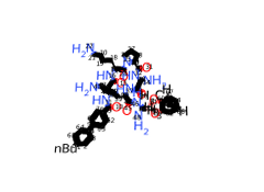 CCCCc1ccc(-c2ccc(C(=O)NCCC(=O)N[C@@H](CCCCN)C(=O)N3CCC[C@H]3C(=O)N[C@@H](N)C(=O)N[C@@H](CCCCN)C(=O)N[C@@H](N)B3OC4C[C@@H]5C[C@@H](C5(C)C)[C@]4(C)O3)cc2)cc1